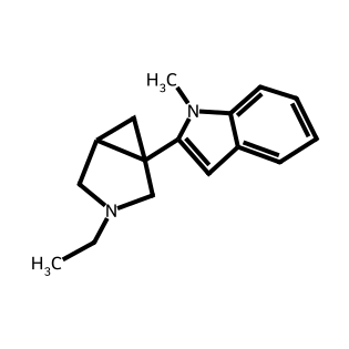 CCN1CC2CC2(c2cc3ccccc3n2C)C1